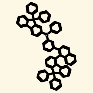 c1ccc(N(c2cccc(-c3ccc4ccccc4c3-c3cccc4c3-c3ccccc3C4(c3ccccc3)c3ccccc3)c2)c2ccc3c(c2)C(c2ccccc2)(c2ccccc2)c2ccccc2-3)cc1